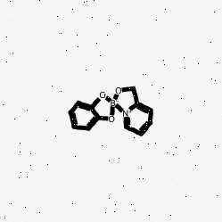 c1ccc2c(c1)O[B-]1(OCc3cccc[n+]31)O2